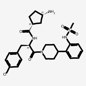 CS(=O)(=O)Nc1ccccc1C1CCN(C(=O)[C@@H](Cc2ccc(Cl)cc2)NC(=O)[C@@H]2CC[C@H](N)C2)CC1